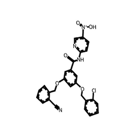 N#Cc1ccccc1COc1cc(OCc2ccccc2Cl)cc(C(=O)Nc2ccc([N+](=O)O)cn2)c1